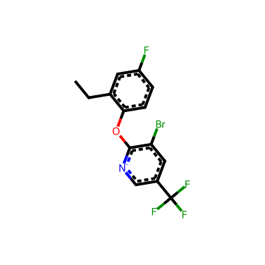 CCc1cc(F)ccc1Oc1ncc(C(F)(F)F)cc1Br